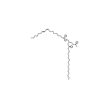 CCCCCC/C=C/C=C\CCCCCCCC(=O)OCC(CCC(C)=O)CC(=O)CCCCCCCCCCCCCCC